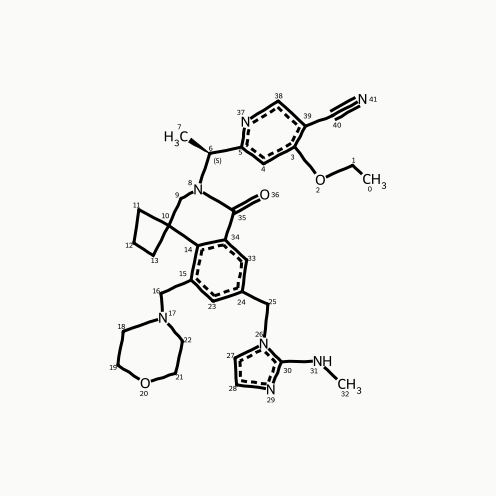 CCOc1cc([C@H](C)N2CC3(CCC3)c3c(CN4CCOCC4)cc(Cn4ccnc4NC)cc3C2=O)ncc1C#N